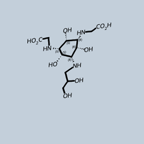 O=C(O)CN[C@@H]1[C@H](O)[C@H](NCC(=O)O)[C@H](O)[C@H](NCC(O)CO)[C@@H]1O